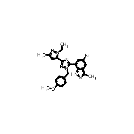 CCn1nc(C)cc1-c1nc(-c2cc(Br)cc3c(C)n[nH]c23)n(Cc2ccc(OC)cc2)n1